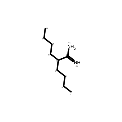 CCCCC(CCCC)C(=N)N